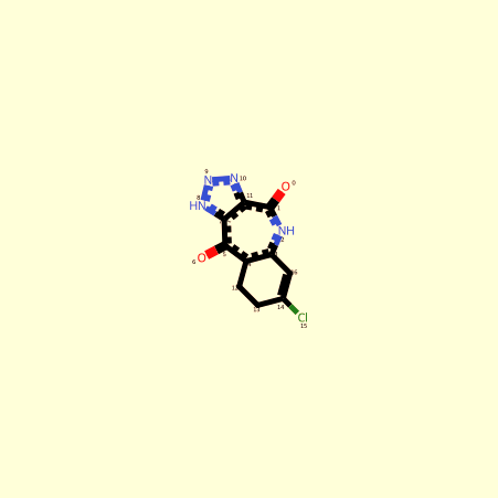 O=c1[nH]c2c(c(=O)c3[nH]nnc13)CCC(Cl)=C2